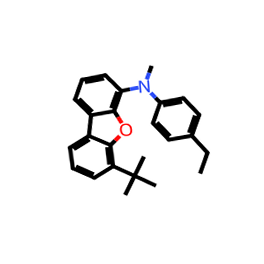 CCc1ccc(N(C)c2cccc3c2oc2c(C(C)(C)C)cccc23)cc1